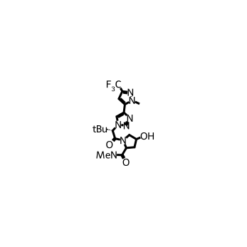 CNC(=O)C1CC(O)CN1C(=O)[C@@H](n1cc(-c2cc(C(F)(F)F)nn2C)nn1)C(C)(C)C